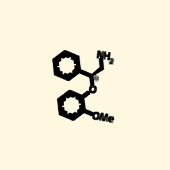 COc1ccccc1O[C@H](CN)c1ccccc1